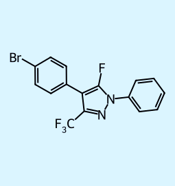 Fc1c(-c2ccc(Br)cc2)c(C(F)(F)F)nn1-c1ccccc1